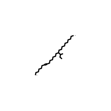 [CH2]CCCCCC#CCCCCCCC(CCCCCCCCC[CH2])C(C)CC